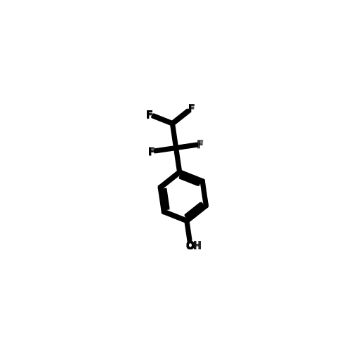 Oc1ccc(C(F)(F)C(F)F)cc1